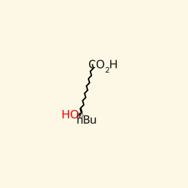 CCCC[C@@H](O)C=CCCCCCCCCCCCC(=O)O